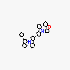 c1ccc(-c2cc(-n3c4ccccc4c4cc(-c5ccc6c(c5)c5ccccc5n6-c5cccc6oc7ccccc7c56)ccc43)c3ccccc3c2)cc1